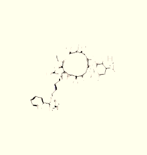 CC[C@H]1OC(=O)[C@@](C)(F)C(=O)[C@H](C)[C@@H](O[C@@H]2O[C@H](C)CC(N(C)C)C2O)[C@](C)(OC)C[C@@H](C)C(=O)[C@H](C)[C@H]2N(C/C=C/Cn3nnnc3-c3ccccn3)C(=O)O[C@]12C